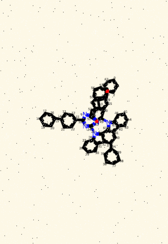 c1ccc(-c2ccc(-c3nc(-c4ccc(-c5ccccc5)cc4)nc(-n4c5ccccc5c5c(-c6ccccc6)cc6c7ccccc7n(-c7cccc(-c8ccccc8)c7)c6c54)n3)cc2)cc1